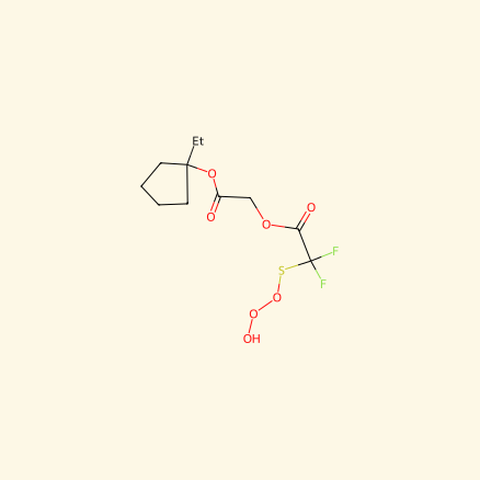 CCC1(OC(=O)COC(=O)C(F)(F)SOOO)CCCC1